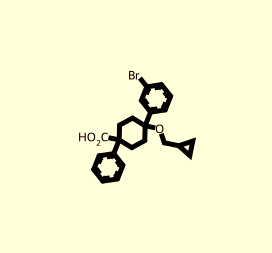 O=C(O)C1(c2ccccc2)CCC(OCC2CC2)(c2cccc(Br)c2)CC1